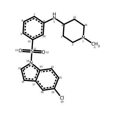 CN1CCC(Nc2cccc(S(=O)(=O)n3ccc4cc(Cl)ccc43)c2)CC1